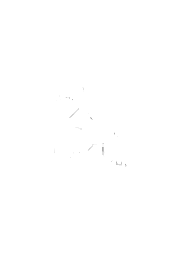 CCOC(=O)c1sc(SC)c(C#N)c1-c1ccc(N(C)C)cc1